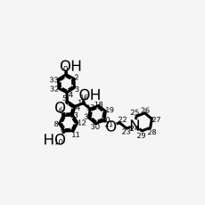 Oc1ccc(-c2oc3cc(O)ccc3c2C(O)c2ccc(OCCN3CCCCC3)cc2)cc1